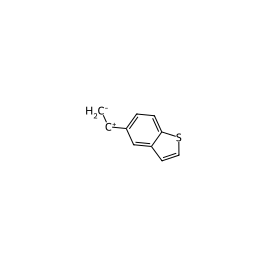 [CH2-][CH+]c1ccc2sccc2c1